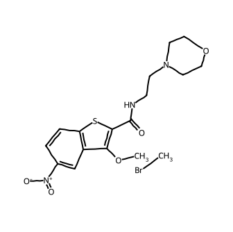 CBr.COc1c(C(=O)NCCN2CCOCC2)sc2ccc([N+](=O)[O-])cc12